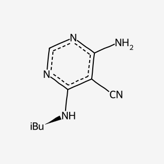 CC[C@H](C)Nc1ncnc(N)c1C#N